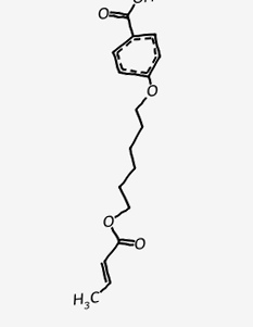 CC=CC(=O)OCCCCCCOc1ccc(C(=O)O)cc1